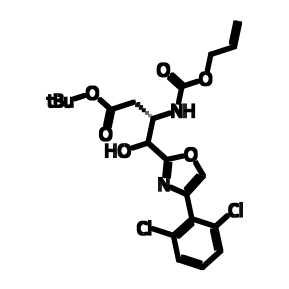 C=CCOC(=O)N[C@@H](CC(=O)OC(C)(C)C)C(O)c1nc(-c2c(Cl)cccc2Cl)co1